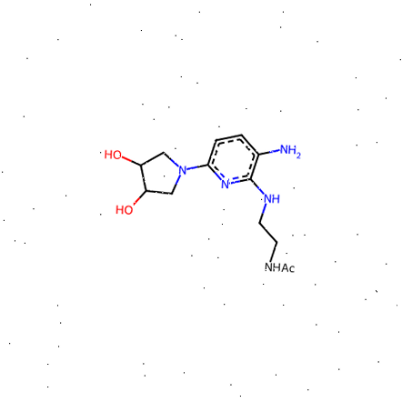 CC(=O)NCCNc1nc(N2CC(O)C(O)C2)ccc1N